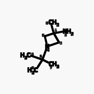 CC1(N)CN(C(C)(C)C)C1